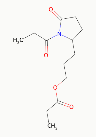 CCC(=O)OCCCC1CCC(=O)N1C(=O)CC